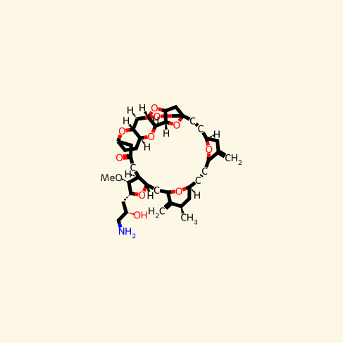 C=C1C[C@@H]2CCC34CC5O[C@H]6[C@@H](O3)[C@H]3OC(CC[C@@H]3O[C@H]6[C@H]5O4)CC(=O)C[C@@H]3[C@@H](OC)[C@@H](C[C@H](O)CN)O[C@H]3CC3O[C@@H](CCC1O2)C[C@@H](C)C3=C